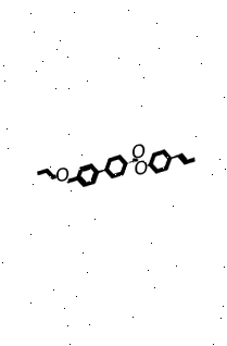 CC=C[C@H]1CC[C@H](OC(=O)[C@H]2CC[C@H](c3ccc(COCCC)cc3)CC2)CC1